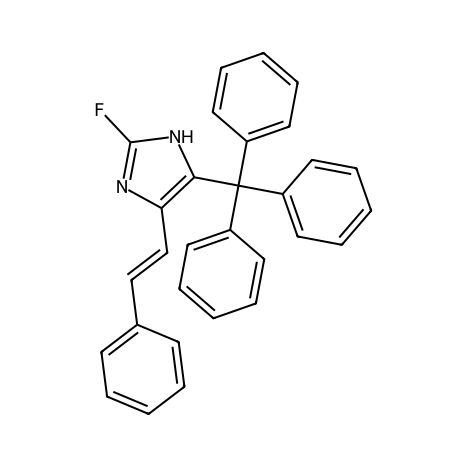 Fc1nc(/C=C/c2ccccc2)c(C(c2ccccc2)(c2ccccc2)c2ccccc2)[nH]1